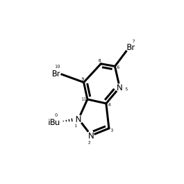 CC[C@@H](C)n1ncc2nc(Br)cc(Br)c21